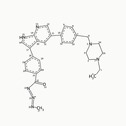 CCN1CCN(Cc2ccc(-c3cnc4[nH]cc(-c5ccc(C(=O)N=[N+]=NC)cc5)c4c3)cc2)CC1